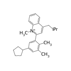 Cc1cc(C2CCCC2)cc(-c2cc(CC(C)C)c3ccccc3[n+]2C)c1C